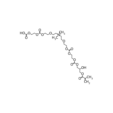 C=C(C)C(=O)OCC(O)COC(=O)OCCOC(=O)OCCOCC[N+](C)(C)CCOCCOC(=O)OCCOC(=O)O